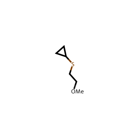 COCCSC1CC1